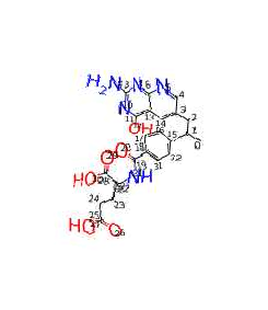 CC(Cc1cnc2nc(N)nc(O)c2c1)c1ccc(C(=O)N[C@@H](CCC(=O)O)C(=O)O)cc1